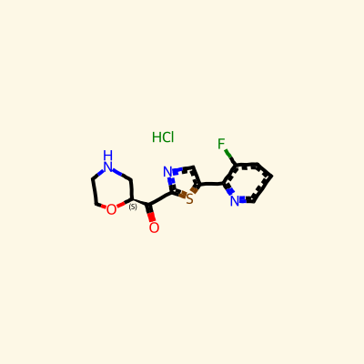 Cl.O=C(c1ncc(-c2ncccc2F)s1)[C@@H]1CNCCO1